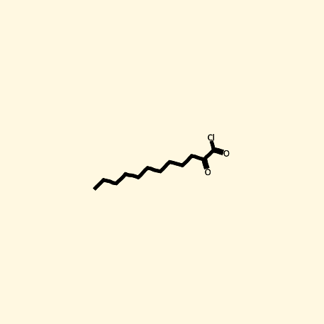 CCCCCCCCCCC(=O)C(=O)Cl